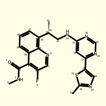 CNC(=O)c1c(F)cnc2c([C@H](C)CNc3cc(-c4cnc(C)s4)ncn3)cccc12